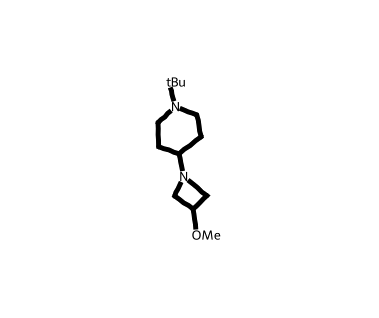 COC1CN(C2CCN(C(C)(C)C)CC2)C1